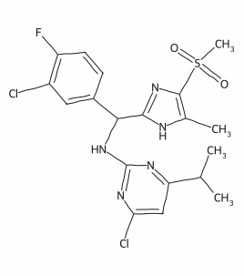 Cc1[nH]c(C(Nc2nc(Cl)cc(C(C)C)n2)c2ccc(F)c(Cl)c2)nc1S(C)(=O)=O